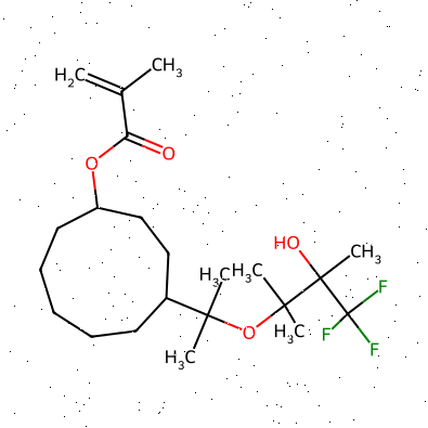 C=C(C)C(=O)OC1CCCCCC(C(C)(C)OC(C)(C)C(C)(O)C(F)(F)F)CC1